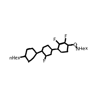 CCCCCCOC1CCC(C2CCC(C3CCC(CCCCCC)CC3)C(F)C2)C(F)C1F